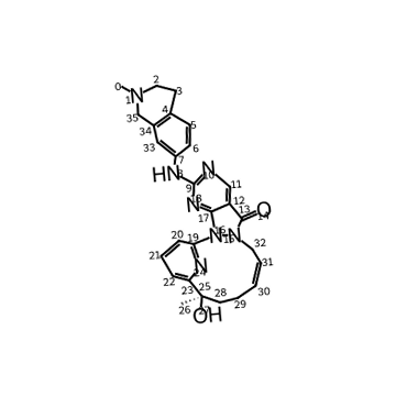 CN1CCc2ccc(Nc3ncc4c(=O)n5n(c4n3)-c3cccc(n3)[C@](C)(O)CC/C=C\C5)cc2C1